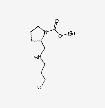 CC(C)(C)OC(=O)N1CCCC1CNCCCC#N